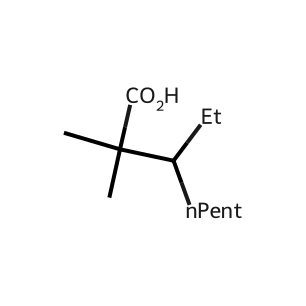 CCCCCC(CC)C(C)(C)C(=O)O